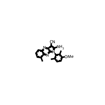 COc1ccc(C)c(-n2c(N)c(C#N)c3nc4cccc(C)c4nc32)c1C